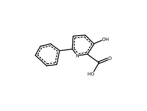 O=C(O)c1nc(-c2ccccc2)ccc1O